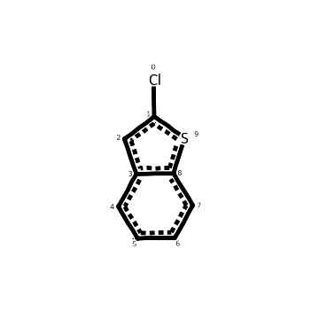 Clc1cc2c[c]ccc2s1